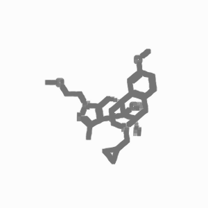 COCCn1nc(C)c2c1C[C@]13CCN(CC4CC4)[C@H](Cc4ccc(OC)cc41)[C@]3(O)C2